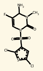 CN1C(=O)N(S(=O)(=O)c2cc(Cl)sc2Cl)C=C(F)C1N